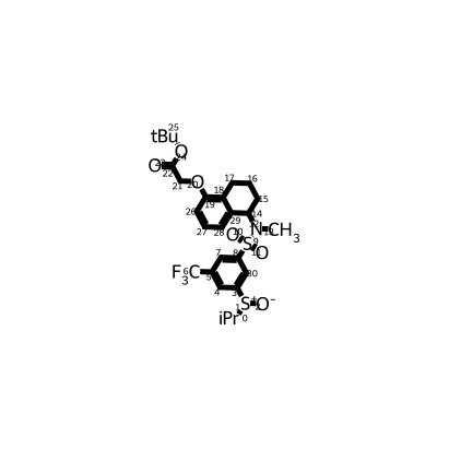 CC(C)[S+]([O-])c1cc(C(F)(F)F)cc(S(=O)(=O)N(C)C2CCCc3c(OCC(=O)OC(C)(C)C)cccc32)c1